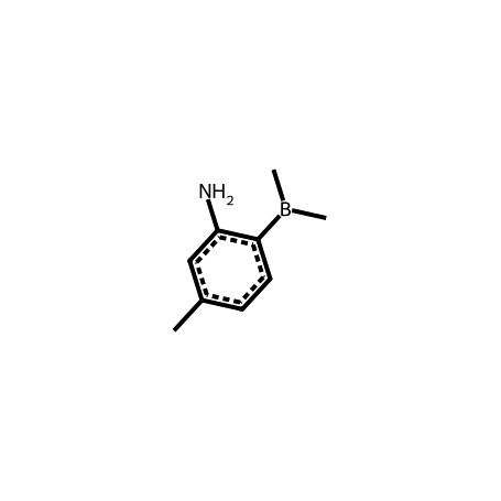 CB(C)c1ccc(C)cc1N